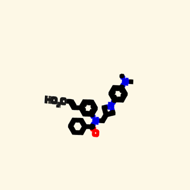 CN(C)c1ccc(N2CC(CN(C(=O)C3CCCCC3)c3cccc(C=CC(=O)O)c3)C2)cc1